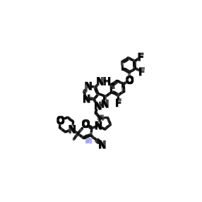 CC(C)(/C=C(/C#N)C(=O)N1CCC[C@@H]1Cn1nc(-c2ccc(Oc3cccc(F)c3F)cc2F)c2c(N)ncnc21)N1CCOCC1